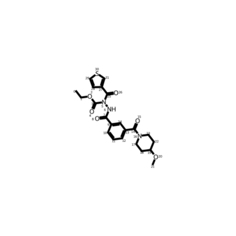 CCOC(=O)N(NC(=O)c1cccc(C(=O)N2CCC(OC)CC2)c1)C(=O)c1ccsc1